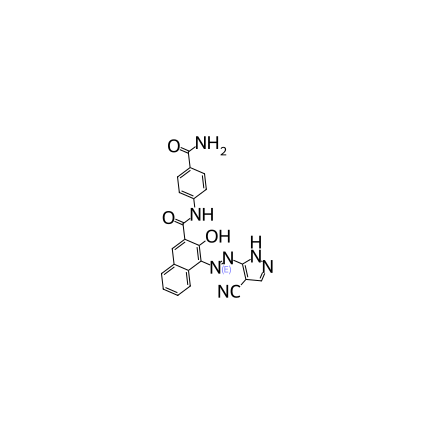 N#Cc1cn[nH]c1/N=N/c1c(O)c(C(=O)Nc2ccc(C(N)=O)cc2)cc2ccccc12